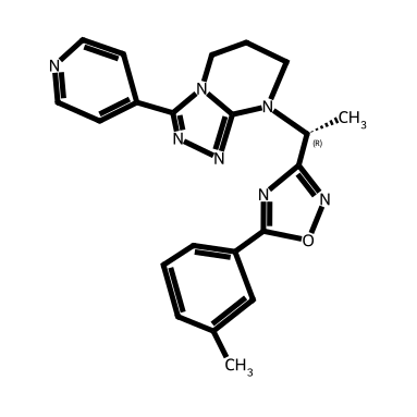 Cc1cccc(-c2nc([C@@H](C)N3CCCn4c(-c5ccncc5)nnc43)no2)c1